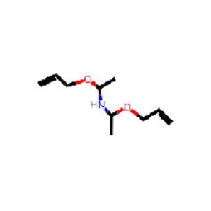 C=CCOC(C)NC(C)OCC=C